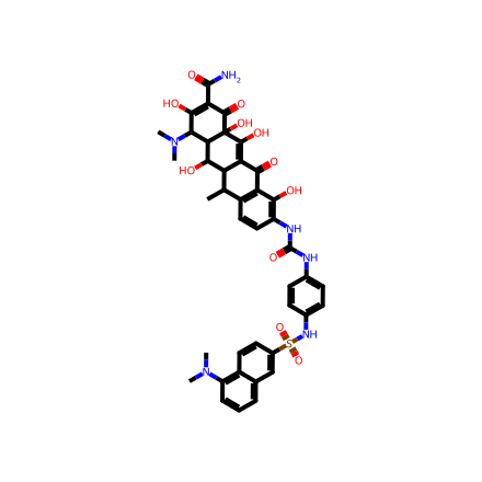 CC1c2ccc(NC(=O)Nc3ccc(NS(=O)(=O)c4ccc5c(N(C)C)cccc5c4)cc3)c(O)c2C(=O)C2=C(O)C3(O)C(=O)C(C(N)=O)=C(O)C(N(C)C)C3C(O)C21